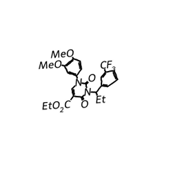 CCOC(=O)c1cn(-c2ccc(OC)c(OC)c2)c(=O)n(C(CC)c2cccc(C(F)(F)F)c2)c1=O